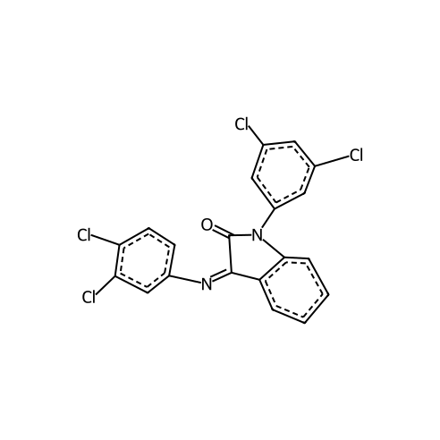 O=C1C(=Nc2ccc(Cl)c(Cl)c2)c2ccccc2N1c1cc(Cl)cc(Cl)c1